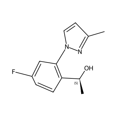 Cc1ccn(-c2cc(F)ccc2[C@H](C)O)n1